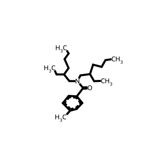 CCCCC(CC)CN(CC(CC)CCCC)C(=O)c1ccc(C)cc1